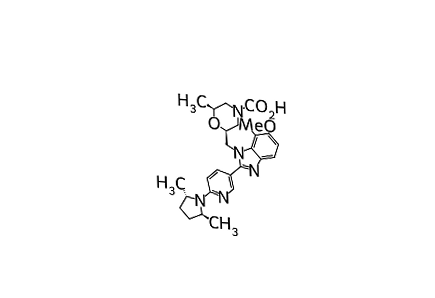 COc1cccc2nc(-c3ccc(N4[C@@H](C)CC[C@@H]4C)nc3)n(C[C@@H]3CN(C(=O)O)C[C@H](C)O3)c12